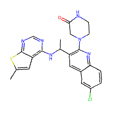 Cc1cc2c(NC(C)c3cc4cc(Cl)ccc4nc3N3CCNC(=O)C3)ncnc2s1